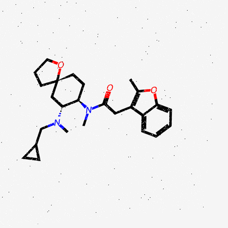 Cc1oc2ccccc2c1CC(=O)N(C)[C@@H]1CC[C@]2(CCCO2)C[C@H]1N(C)CC1CC1